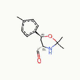 Cc1ccc([C@H]2OC(C)(C)N[C@@H]2C=O)cc1